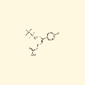 CC(C)(C)[Si](C)(C)OC/C(=C\CCC(=O)O)c1ccc(F)cc1